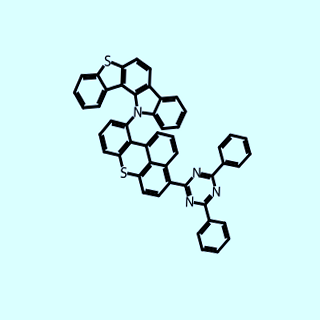 c1ccc(-c2nc(-c3ccccc3)nc(-c3ccc4c5c(cccc35)-c3c(cccc3-n3c5ccccc5c5ccc6sc7ccccc7c6c53)S4)n2)cc1